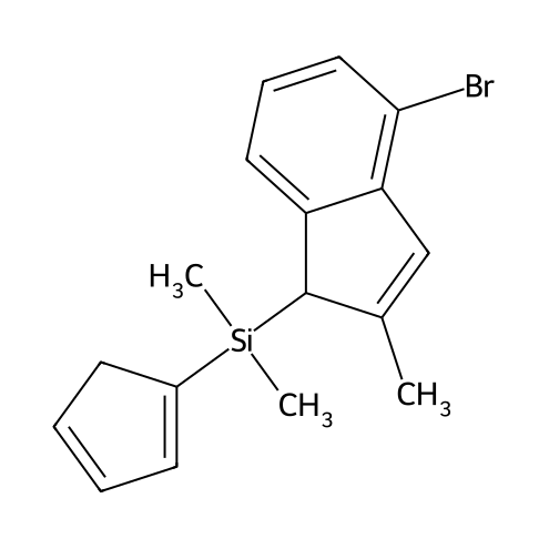 CC1=Cc2c(Br)cccc2C1[Si](C)(C)C1=CC=CC1